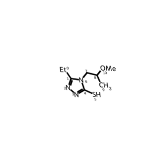 CCc1nnc(S)n1CC(C)OC